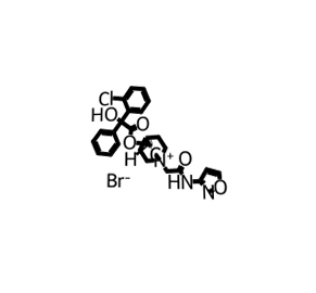 O=C(C[N+]12CCC(CC1)[C@@H](OC(=O)C(O)(c1ccccc1)c1ccccc1Cl)C2)Nc1ccon1.[Br-]